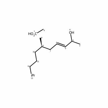 CC(=O)O.CC(O)C=CC[C@H](C)CCCC(C)C